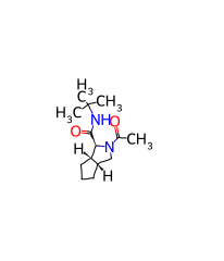 CC(=O)N1C[C@@H]2CCC[C@@H]2[C@H]1C(=O)NC(C)(C)C